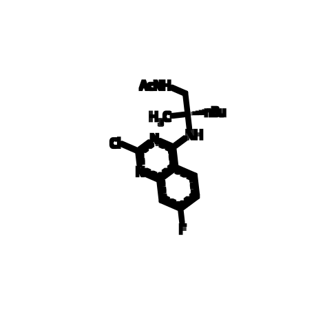 CCCC[C@](C)(CNC(C)=O)Nc1nc(Cl)nc2cc(F)ccc12